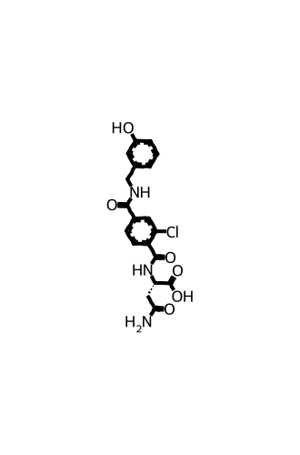 NC(=O)C[C@H](NC(=O)c1ccc(C(=O)NCc2cccc(O)c2)cc1Cl)C(=O)O